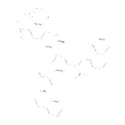 CC1(C)CCN2CCC(C)(C)c3c2c1cc1cc(-c2cc(-c4cc5c(ccc6ccccc65)oc4=O)cc(-c4cc5c(ccc6ccccc65)oc4=O)c2)c(=O)oc31